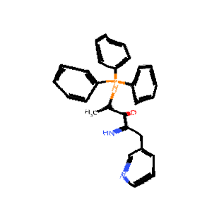 CC(C(=O)C(=N)Cc1cccnc1)[PH](c1ccccc1)(c1ccccc1)c1ccccc1